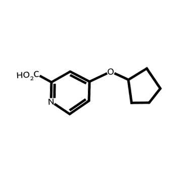 O=C(O)c1cc(OC2CCCC2)ccn1